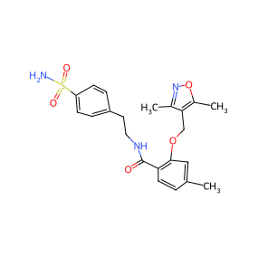 Cc1ccc(C(=O)NCCc2ccc(S(N)(=O)=O)cc2)c(OCc2c(C)noc2C)c1